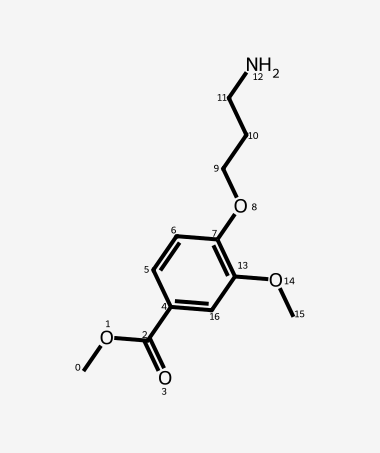 COC(=O)c1ccc(OCCCN)c(OC)c1